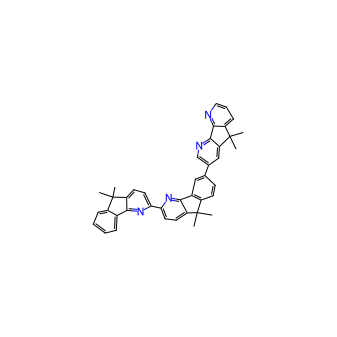 CC1(C)c2ccccc2-c2nc(-c3ccc4c(n3)-c3cc(-c5cnc6c(c5)C(C)(C)c5cccnc5-6)ccc3C4(C)C)ccc21